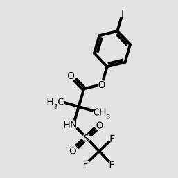 CC(C)(NS(=O)(=O)C(F)(F)F)C(=O)Oc1ccc(I)cc1